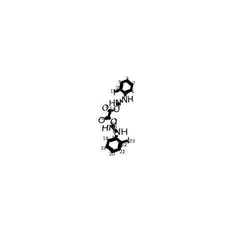 O=C(ONNc1ccccc1I)C(=O)ONNc1ccccc1I